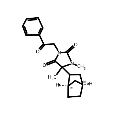 CN1C(=O)N(CC(=O)c2ccccc2)C(=O)C1(C)C1C[C@H]2CC[C@@H]1C2